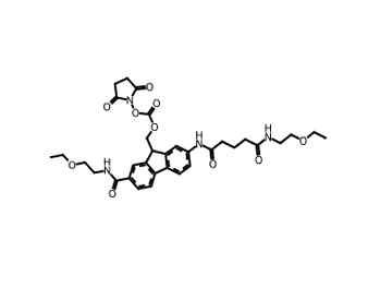 CCOCCNC(=O)CCCC(=O)Nc1ccc2c(c1)C(COC(=O)ON1C(=O)CCC1=O)c1cc(C(=O)NCCOCC)ccc1-2